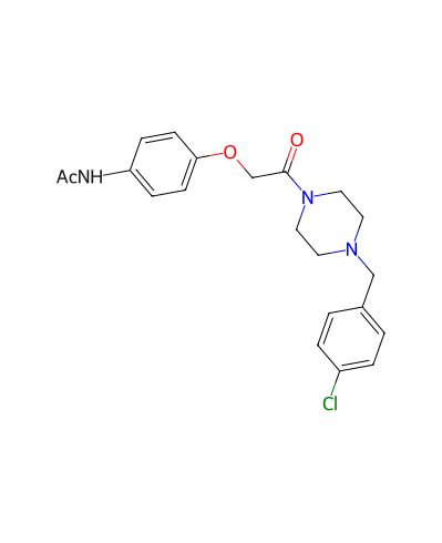 CC(=O)Nc1ccc(OCC(=O)N2CCN(Cc3ccc(Cl)cc3)CC2)cc1